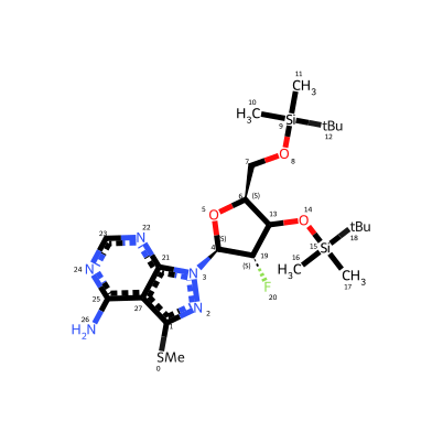 CSc1nn([C@H]2O[C@@H](CO[Si](C)(C)C(C)(C)C)C(O[Si](C)(C)C(C)(C)C)[C@@H]2F)c2ncnc(N)c12